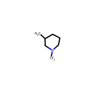 CC1CCCN(C(F)(F)F)C1